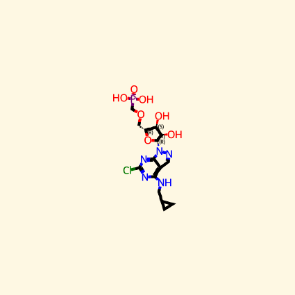 O=P(O)(O)COC[C@H]1O[C@@H](n2ncc3c(NCC4CC4)nc(Cl)nc32)[C@H](O)[C@@H]1O